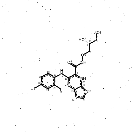 O=C(NOC[C@H](O)CO)c1[nH]c2ncnc-2nc1Nc1ccc(I)cc1F